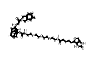 O=C(CCCCC1SCC2NC(=O)NC21)NCCOCCOCCOCCNC(=O)NC12CC3CC(CC(NCC(=O)N4Cc5cc(F)c(F)cc5C4)(C3)C1)C2